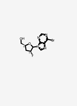 OC[C@@H]1C[C@H](F)C(n2cnc3c(Br)ncnc32)O1